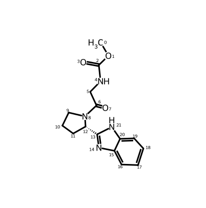 COC(=O)NCC(=O)N1CCC[C@H]1c1nc2ccccc2[nH]1